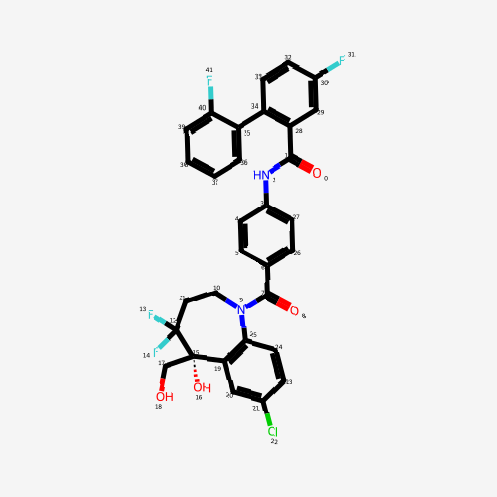 O=C(Nc1ccc(C(=O)N2CCC(F)(F)[C@](O)(CO)c3cc(Cl)ccc32)cc1)c1cc(F)ccc1-c1ccccc1F